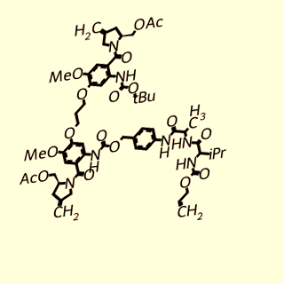 C=CCOC(=O)NC(C(=O)NC(C)C(=O)Nc1ccc(COC(=O)Nc2cc(OCCCOc3cc(NC(=O)OC(C)(C)C)c(C(=O)N4CC(=C)C[C@H]4COC(C)=O)cc3OC)c(OC)cc2C(=O)N2CC(=C)C[C@H]2COC(C)=O)cc1)C(C)C